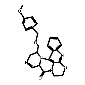 COc1ccc(COCC2CN=CC3C(=O)N4CCOc5nc6ccccc6c(c54)N23)cc1